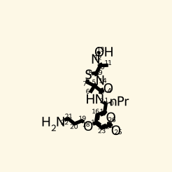 CCC[C@@H](NC(=O)C1(C)CSC(/C(C)=N/O)=N1)c1cc(OCCCN)cc(=O)o1